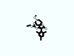 CCOC(=O)OC1=C(c2c(C)cc(C)cc2C)C(=O)SC12CCN(OC)CC2